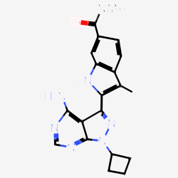 CNC(=O)c1ccc2c(C)c(-c3nn(C4CCC4)c4ncnc(N)c34)[nH]c2c1